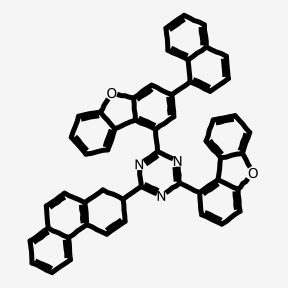 C1=CC(c2nc(-c3cccc4oc5ccccc5c34)nc(-c3cc(-c4cccc5ccccc45)cc4oc5ccccc5c34)n2)Cc2ccc3ccccc3c21